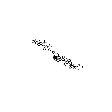 C=C(/C(C)=C/C=C\C)c1ccccc1C(=C)c1c2ccccc2c(-c2ccc3c(c2)-c2ccc4ccc5sc6c(-c7ccc(C8=CC=C(c9c%10ccccc%10c(-c%10ccc%11c(c%10)-c%10ccc%12cc%13c(cc%12c%10C%11(C)C)sc%10ccccc%10%13)c%10ccccc9%10)C9C=CC=CC89)cc7)cccc6c5c4c2C3(C)C)c2ccccc12